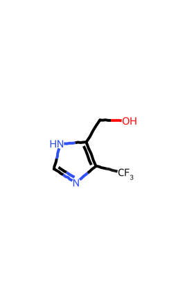 OCc1[nH]cnc1C(F)(F)F